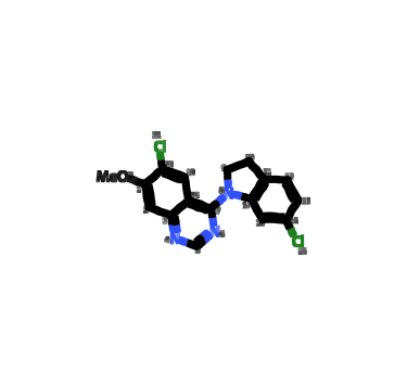 COc1cc2ncnc(N3CCc4ccc(Cl)cc43)c2cc1Cl